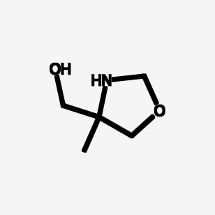 CC1(CO)COCN1